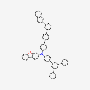 c1ccc(-c2cc(-c3ccccc3)cc(-c3ccc(N(c4ccc(-c5ccc(-c6cccc(-c7ccc8ccccc8c7)c6)cc5)cc4)c4ccc5c(c4)oc4ccccc45)cc3)c2)cc1